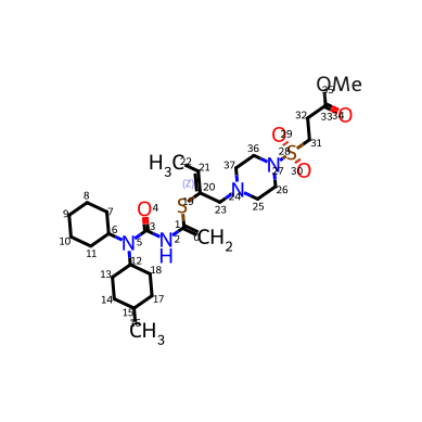 C=C(NC(=O)N(C1CCCCC1)C1CCC(C)CC1)S/C(=C\C)CN1CCN(S(=O)(=O)CCC(=O)OC)CC1